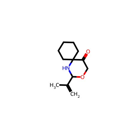 C=C(C)C1NC2(CCCCC2)C(=O)CO1